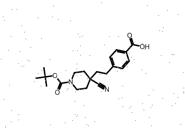 CC(C)(C)OC(=O)N1CCC(C#N)(CCc2ccc(C(=O)O)cc2)CC1